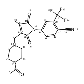 CC(=O)N1CCN(CC2=C(C)C(=O)N(c3ccc(C#N)c(C(F)(F)F)c3)C2=O)CC1